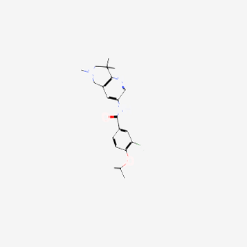 CC(C)Oc1ccc(C(=O)Nc2cnc3c(c2)CN(C)CC3(C)C)cc1Cl